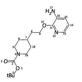 CC(C)(C)OC(=O)N1CCC(CCOc2ncccc2N)CC1